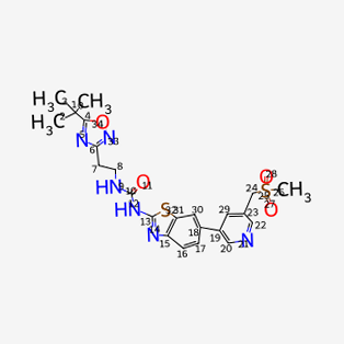 CC(C)(C)c1nc(CCNC(=O)Nc2nc3ccc(-c4cncc(CS(C)(=O)=O)c4)cc3s2)no1